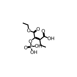 CCOC(=O)C(OP(=O)(O)O)=C(CC)C(=O)O